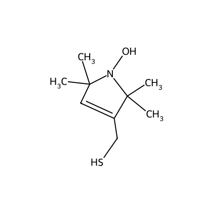 CC1(C)C=C(CS)C(C)(C)N1O